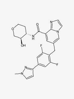 Cn1ccc(-c2cc(F)c(Cc3cc(C(=O)N[C@H]4CCOC[C@@H]4O)c4nccn4c3)c(F)c2)n1